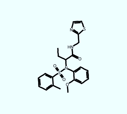 CCC(C(=O)NCc1nccs1)N(c1ccccc1OC)S(=O)(=O)c1ccccc1C